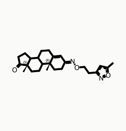 Cc1cc(CCON=C2C=C3CCC4C(CC[C@]5(C)C(=O)CCC45)[C@@]3(C)CC2)no1